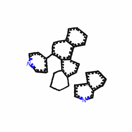 c1ccc2c(c1)cc(-c1ccncc1)c1c3c(ccc12)CCCC3.c1ccc2cnccc2c1